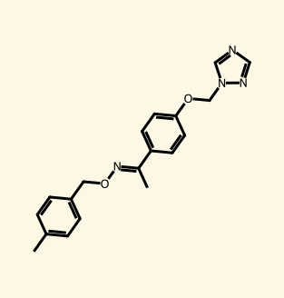 C/C(=N\OCc1ccc(C)cc1)c1ccc(OCn2cncn2)cc1